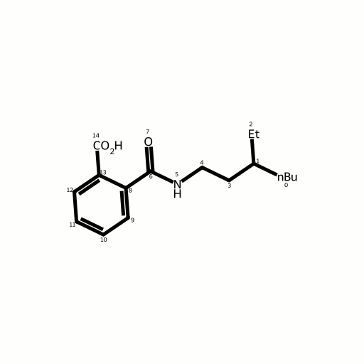 CCCCC(CC)CCNC(=O)c1ccccc1C(=O)O